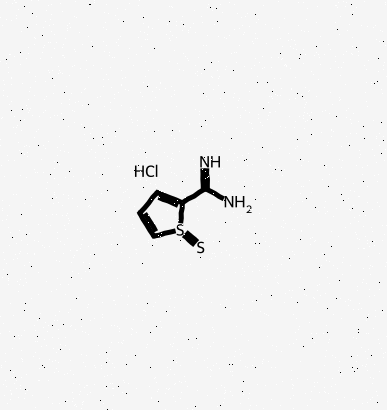 Cl.N=C(N)C1=CC=CS1=S